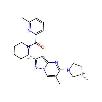 Cc1cccc(C(=O)N2CCCC[C@H]2c2cc3nc(N4CC[C@H](C)C4)c(C)cn3n2)n1